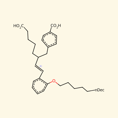 CCCCCCCCCCCCCCCOc1ccccc1/C=C/C(CCCCC(=O)O)Cc1ccc(C(=O)O)cc1